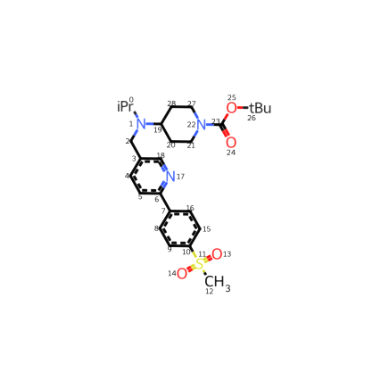 CC(C)N(Cc1ccc(-c2ccc(S(C)(=O)=O)cc2)nc1)C1CCN(C(=O)OC(C)(C)C)CC1